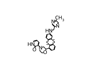 Cc1cnc(CNc2ccc3c(c2)Sc2cccc(C4CN(c5ccc[nH]c5=O)CCO4)c2S3)cn1